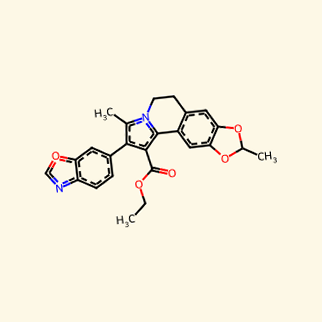 CCOC(=O)c1c(-c2ccc3ncoc3c2)c(C)n2c1-c1cc3c(cc1CC2)OC(C)O3